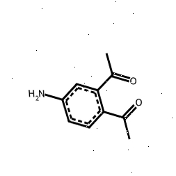 CC(=O)c1ccc(N)cc1C(C)=O